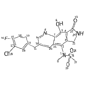 CN(c1c2c(c(O)c3ncc(Cc4ccc(F)c(Cl)c4)cc13)C(=O)NC2)S(C)(=O)=O